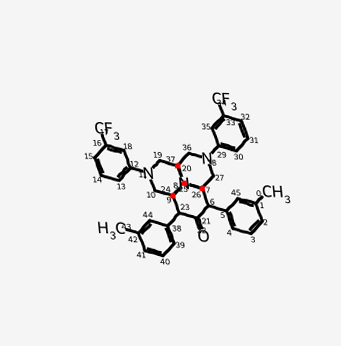 Cc1cccc(C(CN2CCN(c3cccc(C(F)(F)F)c3)CC2)C(=O)C(CN2CCN(c3cccc(C(F)(F)F)c3)CC2)c2cccc(C)c2)c1